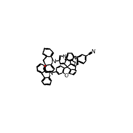 N#Cc1ccc2c(c1)c1ccccc1n2-c1cccc2c1C1(c3ccc(-n4c5ccccc5c5ccccc54)cc3O2)c2cccnc2-c2ncc(N3c4ccccc4Cc4ccccc43)cc21